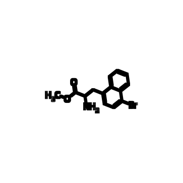 COC(=O)C(N)Cc1ccc(Br)c2ccccc12